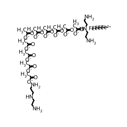 CC(=O)[O-].CC(=O)[O-].CC(=O)[O-].CC(=O)[O-].CC(=O)[O-].CC(=O)[O-].CC(=O)[O-].CC(=O)[O-].CC(=O)[O-].CC(=O)[O-].NCCNCCN.NCCNCCN.[Fe+2].[Fe+2].[Fe+2].[Fe+2].[Fe+2]